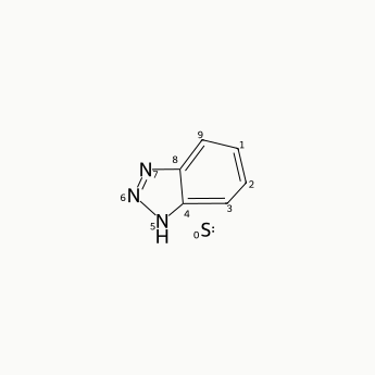 [S].c1ccc2[nH]nnc2c1